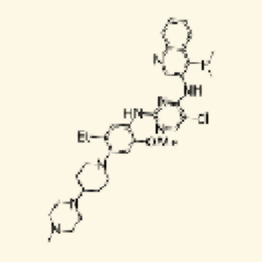 CCc1cc(Nc2ncc(Cl)c(Nc3cnc4ccccc4c3P(C)C)n2)c(OC)cc1N1CCC(N2CCN(C)CC2)CC1